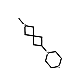 CN1CC2(CC(N3CCOCC3)C2)C1